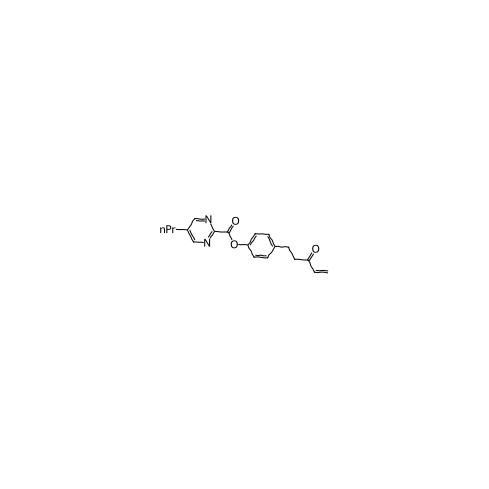 C=CC(=O)CCc1ccc(OC(=O)c2ncc(CCC)cn2)cc1